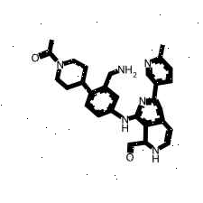 CC(=O)N1CCC(c2ccc(Nc3nc(-c4ccc(C)nc4)cc4c3C(C=O)NC=C4)cc2CN)CC1